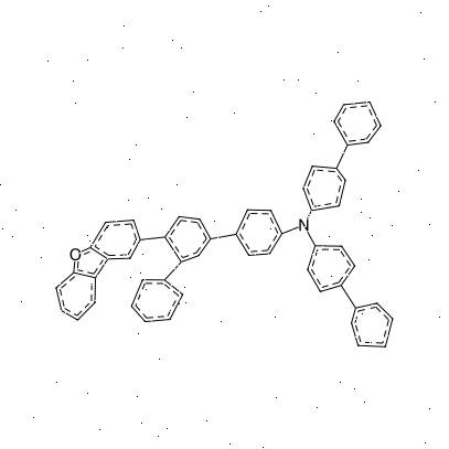 c1ccc(-c2ccc(N(c3ccc(-c4ccccc4)cc3)c3ccc(-c4ccc(-c5ccc6oc7ccccc7c6c5)c(-c5ccccc5)c4)cc3)cc2)cc1